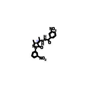 CC1=NN(c2cccc([N+](=O)[O-])c2)C(=O)/C1=C(/C)NNC(=O)c1cccc([N+](=O)[O-])c1